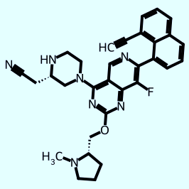 C#Cc1cccc2cccc(-c3ncc4c(N5CCN[C@@H](CC#N)C5)nc(OC[C@@H]5CCCN5C)nc4c3F)c12